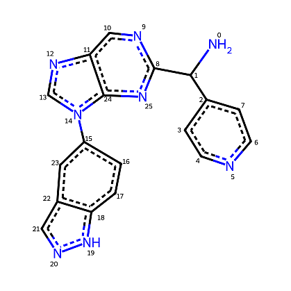 NC(c1ccncc1)c1ncc2ncn(-c3ccc4[nH]ncc4c3)c2n1